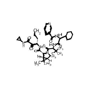 CCC[C@H](NC(=O)[C@@H]1[C@@H]2[C@H](CN1C(=O)[C@@H](NC(=O)[C@@H](NC(=O)c1cccnc1)C1CCCCC1)C(C)(C)C)C2(C)C)C(=O)C(=O)NC1CC1